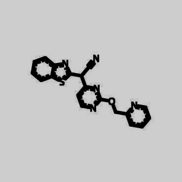 N#CC(c1ccnc(OCc2ccccn2)n1)c1nc2ccccc2s1